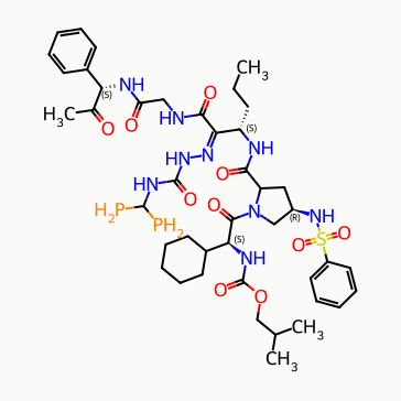 CCC[C@H](NC(=O)C1C[C@@H](NS(=O)(=O)c2ccccc2)CN1C(=O)[C@@H](NC(=O)OCC(C)C)C1CCCCC1)C(=NNC(=O)NC(P)P)C(=O)NCC(=O)N[C@H](C(C)=O)c1ccccc1